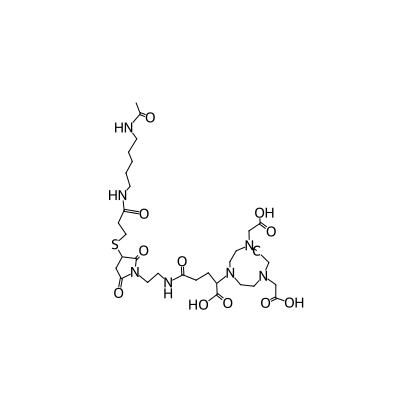 CC(=O)NCCCCCNC(=O)CCSC1CC(=O)N(CCNC(=O)CCC(C(=O)O)N2CCN(CC(=O)O)CCN(CC(=O)O)CC2)C1=O